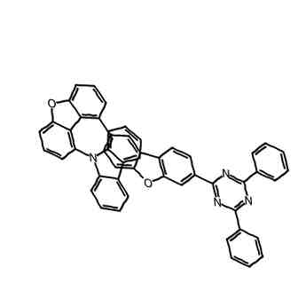 c1ccc(-c2nc(-c3ccccc3)nc(-c3ccc4c(c3)oc3ccc(-c5cccc6oc7cccc(-n8c9ccccc9c9ccccc98)c7c56)cc34)n2)cc1